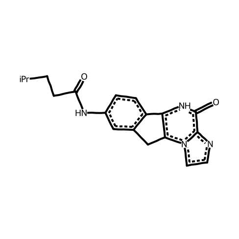 CC(C)CCC(=O)Nc1ccc2c(c1)Cc1c-2[nH]c(=O)c2nccn12